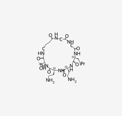 CC(C)C[C@@H]1NC(=O)CNC(=O)CNC(=O)CCCNC(=O)C([C@@H](C)O)NC(=O)[C@H](CCN)NC(=O)[C@H](CCN)NC1=O